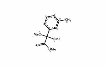 COC(=O)C(OC)(OC)c1cccc(C)c1